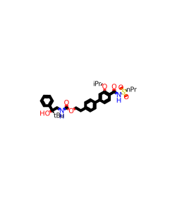 CCCS(=O)(=O)NC(=O)c1ccc(-c2ccc(CCOC(=O)NC[C@](O)(c3ccccc3)C(C)(C)C)cc2)cc1OC(C)C